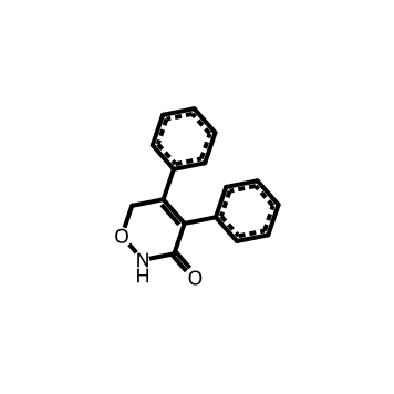 O=C1NOCC(c2ccccc2)=C1c1ccccc1